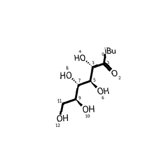 CCC(C)C(=O)[C@@H](O)[C@@H](O)[C@@H](O)[C@@H](O)CO